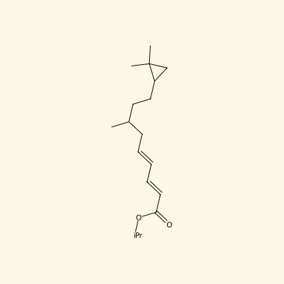 CC(CC=CC=CC(=O)OC(C)C)CCC1CC1(C)C